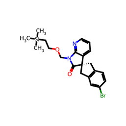 C[Si](C)(C)CCOCN1C(=O)[C@@]2(Cc3ccc(Br)cc3C2)c2cccnc21